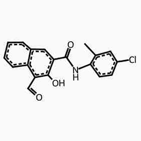 Cc1cc(Cl)ccc1NC(=O)c1cc2ccccc2c(C=O)c1O